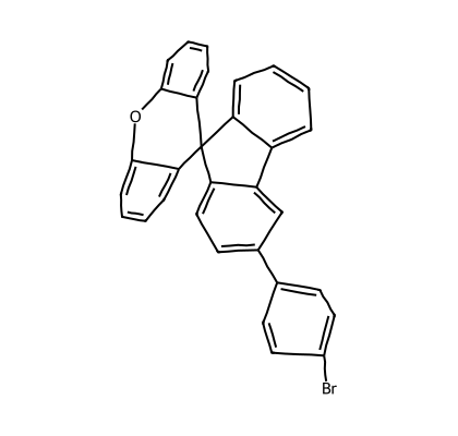 Brc1ccc(-c2ccc3c(c2)-c2ccccc2C32c3ccccc3Oc3ccccc32)cc1